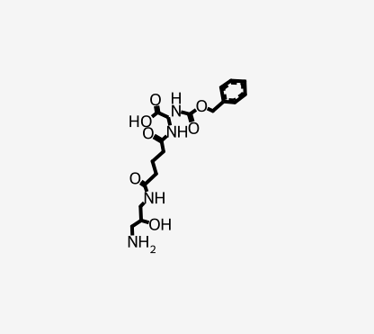 NCC(O)CNC(=O)CCCC(=O)NC(NC(=O)OCc1ccccc1)C(=O)O